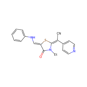 CCn1c(=C(C#N)c2ccncc2)sc(=CNc2ccccc2)c1=O